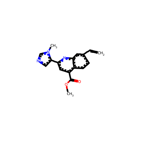 C=Cc1ccc2c(C(=O)OC)cc(-c3cncn3C)nc2c1